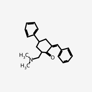 CN(C)CC1CC(c2ccccc2)C/C(=C/c2ccccc2)C1=O